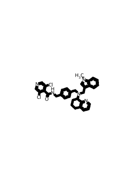 Cn1cc(CN(Cc2ccc(CNC(=O)c3c(Cl)cncc3Cl)cc2)C2CCCc3cccnc32)c2ccccc21